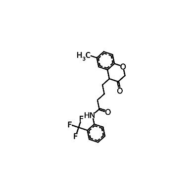 Cc1ccc2c(c1)C(CCCC(=O)Nc1ccccc1C(F)(F)F)C(=O)CO2